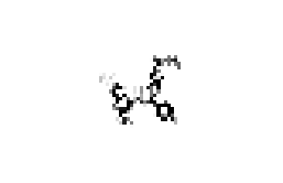 NC(=O)N1CC2(C1)CN([C@H](CNc1cc(C(F)(F)F)nc3cc(C(F)(F)F)nn13)c1ccc(F)cc1)C2